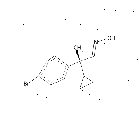 C[C@](/C=N/O)(c1ccc(Br)cc1)C1CC1